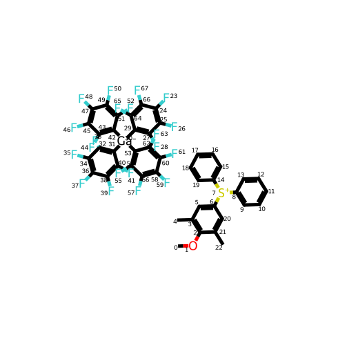 COc1c(C)cc([S+](c2ccccc2)c2ccccc2)cc1C.Fc1c(F)c(F)[c]([Ga-]([c]2c(F)c(F)c(F)c(F)c2F)([c]2c(F)c(F)c(F)c(F)c2F)[c]2c(F)c(F)c(F)c(F)c2F)c(F)c1F